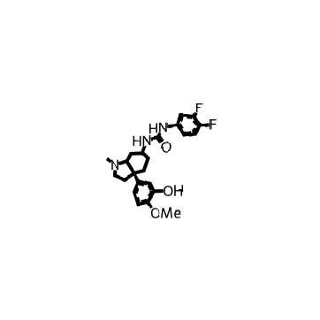 COc1ccc(C23CCC(NC(=O)Nc4ccc(F)c(F)c4)CC2N(C)CC3)cc1O